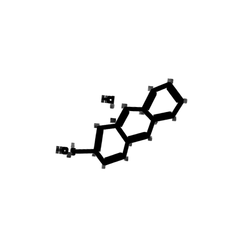 Cl.O=S(=O)(O)c1ccc2cc3ccccc3cc2c1